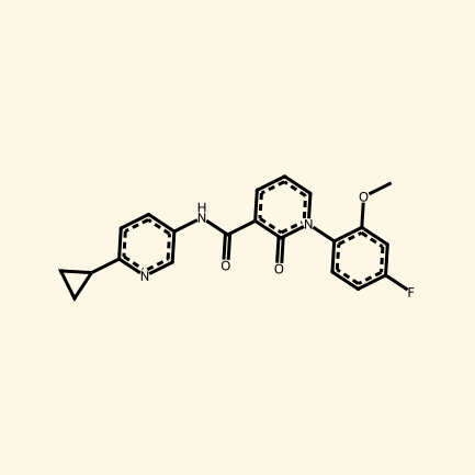 COc1cc(F)ccc1-n1cccc(C(=O)Nc2ccc(C3CC3)nc2)c1=O